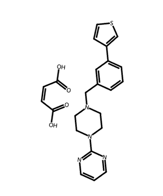 O=C(O)/C=C\C(=O)O.c1cnc(N2CCN(Cc3cccc(-c4ccsc4)c3)CC2)nc1